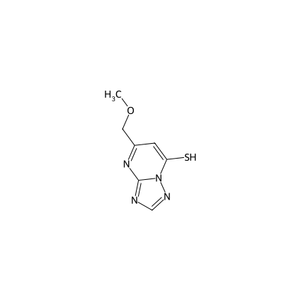 COCc1cc(S)n2ncnc2n1